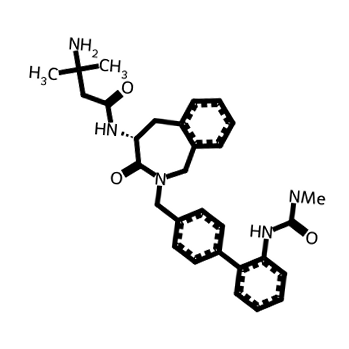 CNC(=O)Nc1ccccc1-c1ccc(CN2Cc3ccccc3C[C@@H](NC(=O)CC(C)(C)N)C2=O)cc1